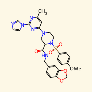 COc1ccc(S(=O)(=O)N2CCN(c3cc(C)nc(-n4ccnc4)n3)CC2C(=O)NCc2ccc3c(c2)OCO3)cc1